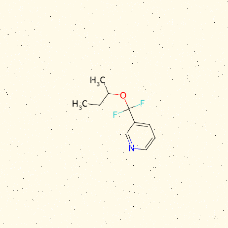 CCC(C)OC(F)(F)c1cccnc1